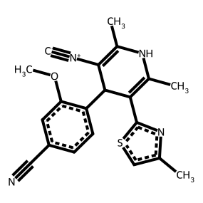 [C-]#[N+]C1=C(C)NC(C)=C(c2nc(C)cs2)C1c1ccc(C#N)cc1OC